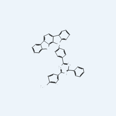 N#Cc1ccc(-c2nc(-c3ccccc3)nc(-c3ccc(-n4c5ccccc5c5ccc6c7ccccc7oc6c54)cc3)n2)cc1